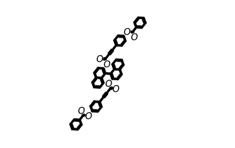 O=C(C#Cc1ccc(OC(=O)c2ccccc2)cc1)Oc1ccc2ccccc2c1-c1c(OC(=O)C#Cc2ccc(OC(=O)c3ccccc3)cc2)ccc2ccccc12